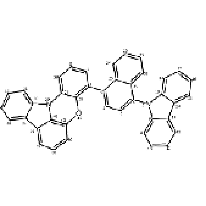 c1cc(-c2ccc(-n3c4ccccc4c4ccccc43)c3ccccc23)c2c(c1)-n1c3ccccc3c3cccc(c31)O2